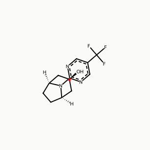 O[C@H]1C[C@H]2CC[C@@H](C1)N2c1ncc(C(F)(F)F)cn1